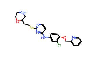 Clc1cc(Nc2ccnc(SCCC3CNCCO3)n2)ccc1OCc1ccccn1